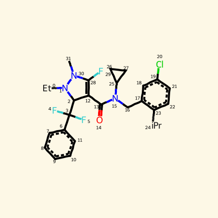 CCN1C(C(F)(F)c2ccccc2)C(C(=O)N(Cc2cc(Cl)ccc2C(C)C)C2CC2)=C(F)N1C